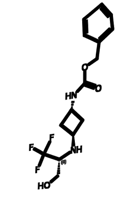 O=C(N[C@H]1C[C@H](N[C@H](CO)C(F)(F)F)C1)OCc1ccccc1